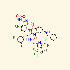 Cn1nc(NS(C)(=O)=O)c2c(Cl)ccc(-n3c([C@H](Cc4cc(F)cc(F)c4)NC(=O)Cn4nc(C(F)F)c5c4C(F)(F)[C@@H]4C[C@H]54)nc4cc(NCc5ccccc5)ccc4c3=O)c21